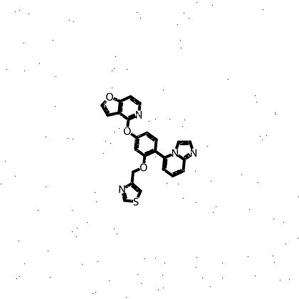 c1cc(-c2ccc(Oc3nccc4occc34)cc2OCc2cscn2)n2ccnc2c1